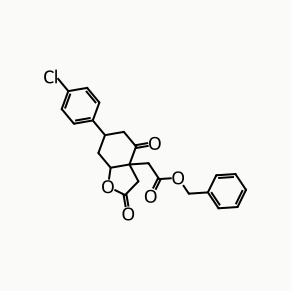 O=C(CC12CC(=O)OC1CC(c1ccc(Cl)cc1)CC2=O)OCc1ccccc1